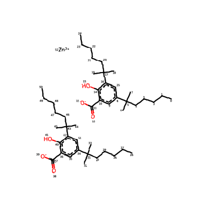 CCCCCC(C)(C)c1cc(C(=O)[O-])c(O)c(C(C)(C)CCCCC)c1.CCCCCC(C)(C)c1cc(C(=O)[O-])c(O)c(C(C)(C)CCCCC)c1.[Zn+2]